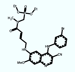 CCOP(=O)(CN(C)C(=O)C=CCNc1cc2c(Nc3cccc(Br)c3)c(C#N)cnc2cc1OC)OCC